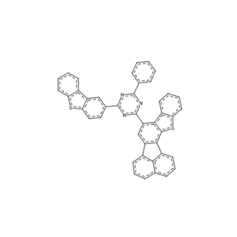 c1ccc(-c2nc(-c3ccc4sc5ccccc5c4c3)nc(-c3cc4c(c5sc6ccccc6c35)-c3cccc5cccc-4c35)n2)cc1